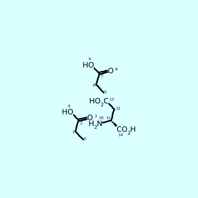 CCC(=O)O.CCC(=O)O.N[C@@H](CC(=O)O)C(=O)O